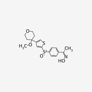 COC1(c2csc([S+]([O-])c3ccc(/C(C)=N\O)cc3)c2)CCOCC1